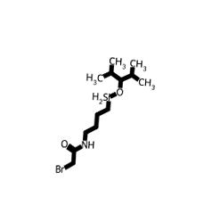 CC(C)C(O[SiH2]CCCCNC(=O)CBr)C(C)C